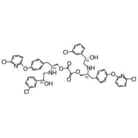 O=C(OC[C@H](Cc1ccc(Oc2cccc(Cl)n2)cc1)NC[C@@H](O)c1cccc(Cl)c1)C(=O)OC[C@H](Cc1ccc(Oc2cccc(Cl)n2)cc1)NC[C@@H](O)c1cccc(Cl)c1